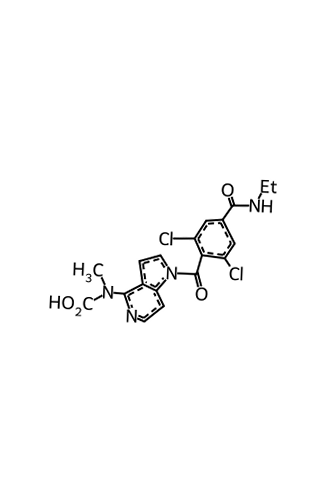 CCNC(=O)c1cc(Cl)c(C(=O)n2ccc3c(N(C)C(=O)O)nccc32)c(Cl)c1